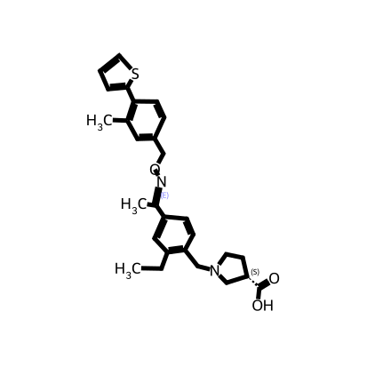 CCc1cc(/C(C)=N/OCc2ccc(-c3cccs3)c(C)c2)ccc1CN1CC[C@H](C(=O)O)C1